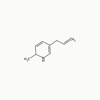 C=CCC1=CNC(C)C=C1